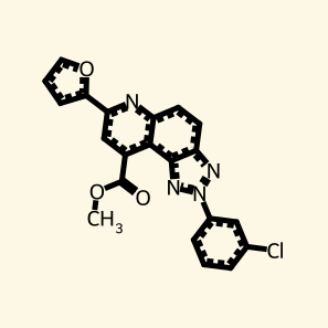 COC(=O)c1cc(-c2ccco2)nc2ccc3nn(-c4cccc(Cl)c4)nc3c12